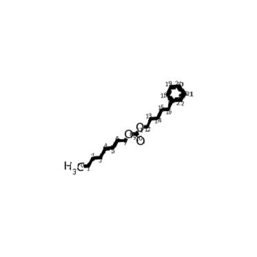 CCCCCCCCOC(=O)OCCCCCc1ccccc1